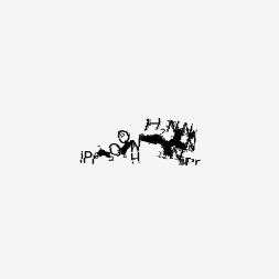 CC(C)CCOCC(=O)NCC#Cc1cn(C(C)C)c2ncnc(N)c12